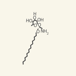 CCCCCCCCCCCCCCCCOC[C@@H](CN)O[C@@H]1OC(C)[C@H](O)C(O)[C@@H]1O